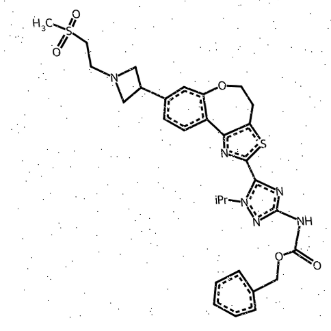 CC(C)n1nc(NC(=O)OCc2ccccc2)nc1-c1nc2c(s1)CCOc1cc(C3CN(CCS(C)(=O)=O)C3)ccc1-2